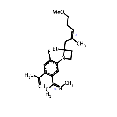 C=C(C)c1cc(F)c(N2CCC2(CC)C/C(C)=C\CCOC)cc1/C(C)=N\C